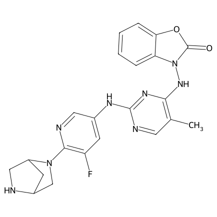 Cc1cnc(Nc2cnc(N3CC4CC3CN4)c(F)c2)nc1Nn1c(=O)oc2ccccc21